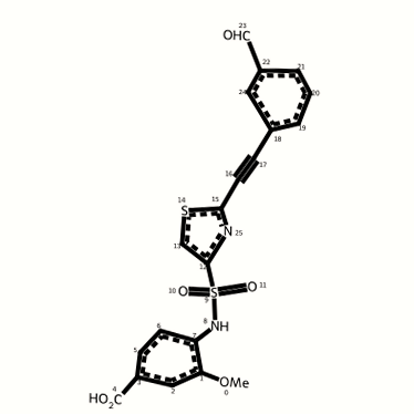 COc1cc(C(=O)O)ccc1NS(=O)(=O)c1csc(C#Cc2cccc(C=O)c2)n1